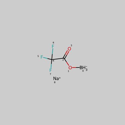 [BH3-]OC(=O)C(F)(F)F.[Na+]